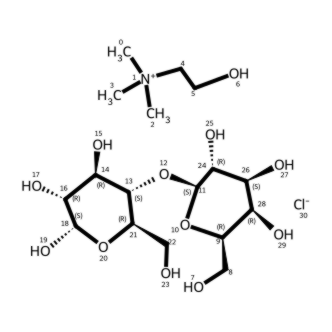 C[N+](C)(C)CCO.OC[C@H]1O[C@@H](O[C@H]2[C@H](O)[C@@H](O)[C@@H](O)O[C@@H]2CO)[C@H](O)[C@@H](O)[C@H]1O.[Cl-]